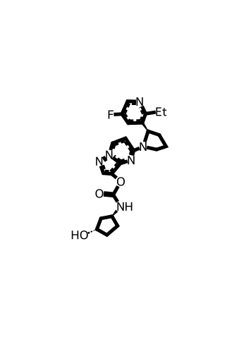 CCc1ncc(F)cc1[C@H]1CCCN1c1ccn2ncc(OC(=O)N[C@H]3CC[C@H](O)C3)c2n1